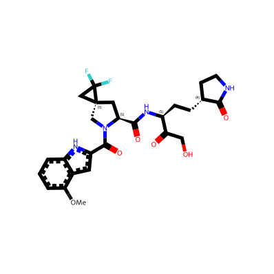 COc1cccc2[nH]c(C(=O)N3C[C@]4(C[C@H]3C(=O)N[C@@H](CC[C@@H]3CCNC3=O)C(=O)CO)CC4(F)F)cc12